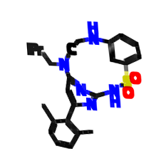 Cc1cccc(C)c1-c1cc2nc(n1)NS(=O)(=O)c1cccc(c1)NCCN2CC(C)C